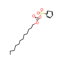 CCCCCCCCCCCC[O][Zr](=[O])[O]S(=O)(=O)c1ccccc1